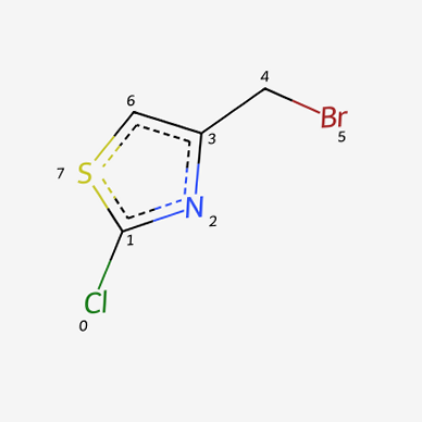 Clc1nc(CBr)cs1